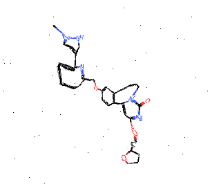 CN1C=C(c2cccc(COc3ccc4c(c3)CCn3c-4cc(OCC4CCCO4)nc3=O)n2)CN1